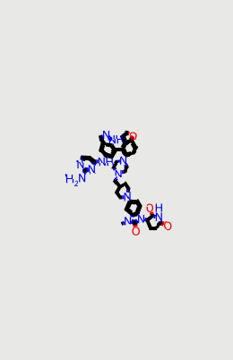 Cn1c(=O)n(C2CCC(=O)NC2=O)c2ccc(N3CCC(CN4CCN(c5ccc6occc6c5-c5cc(Nc6ccnc(N)n6)cc6cn[nH]c56)CC4)CC3)cc21